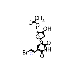 CC(=O)OC[C@H]1O[C@@H](n2cc(/C=C/Br)c(=O)[nH]c2=O)C[C@@H]1O